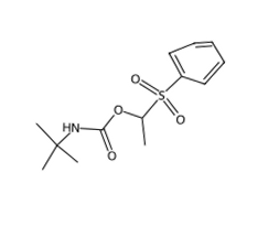 CC(OC(=O)NC(C)(C)C)S(=O)(=O)c1ccccc1